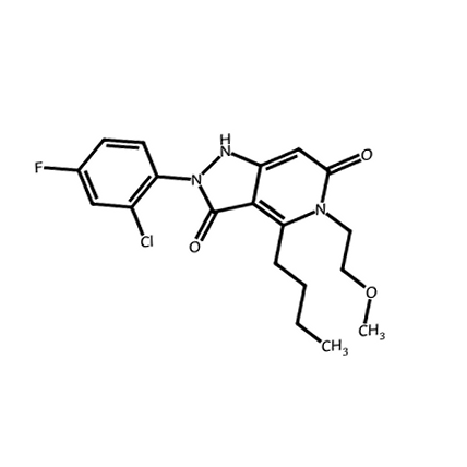 CCCCc1c2c(=O)n(-c3ccc(F)cc3Cl)[nH]c2cc(=O)n1CCOC